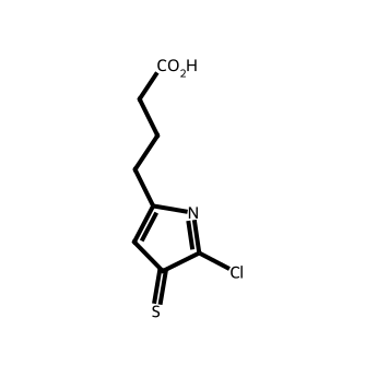 O=C(O)CCCC1=CC(=S)C(Cl)=N1